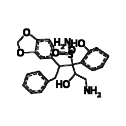 NCC(O)C(c1ccccc1O)(C(Cc1ccccc1)c1ccc2c(c1)OCO2)S(N)(=O)=O